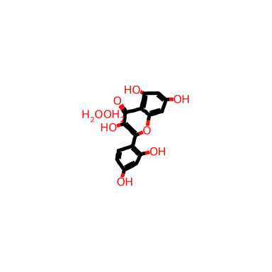 O.O.O=c1c(O)c(-c2ccc(O)cc2O)oc2cc(O)cc(O)c12